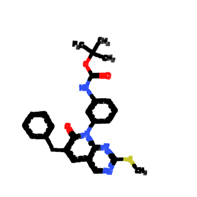 CSc1ncc2cc(Cc3ccccc3)c(=O)n(-c3cccc(NC(=O)OC(C)(C)C)c3)c2n1